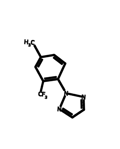 Cc1ccc(-n2nccn2)c(C(F)(F)F)c1